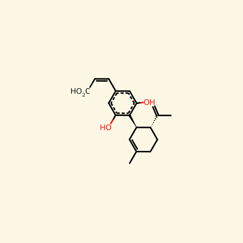 C=C(C)[C@@H]1CCC(C)=C[C@H]1c1c(O)cc(/C=C\C(=O)O)cc1O